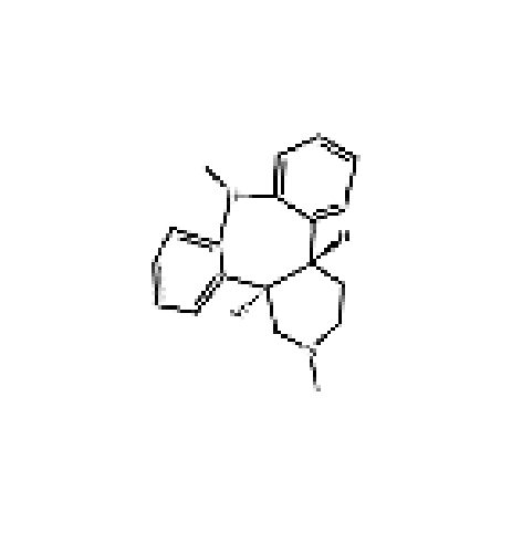 CN1CC[C@H]2c3ccccc3N(C)c3ccccc3[C@@H]2C1